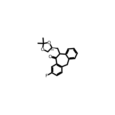 CC1(C)OC[C@H](CC2C(=O)c3cc(F)ccc3Cc3ccccc32)O1